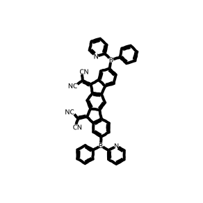 N#CC(C#N)=C1c2cc(B(c3ccccc3)c3ccccn3)ccc2-c2cc3c(cc21)C(=C(C#N)C#N)c1cc(B(c2ccccc2)c2ccccn2)ccc1-3